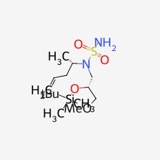 C=CC[C@H](C)N(C[C@H](COC)O[Si](C)(C)C(C)(C)C)S(N)(=O)=O